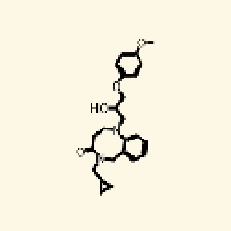 COc1ccc(OCC(O)CN2CCC(=O)N(CC3CC3)Cc3ccccc32)cc1